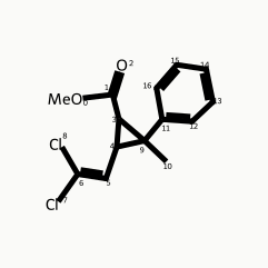 COC(=O)C1C(C=C(Cl)Cl)C1(C)c1ccccc1